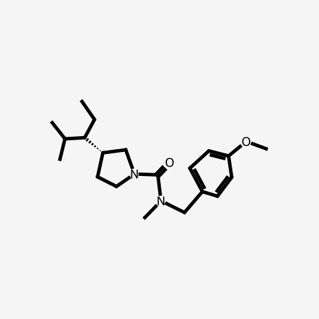 CCC(C(C)C)[C@H]1CCN(C(=O)N(C)Cc2ccc(OC)cc2)C1